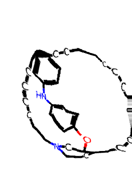 c1ccc(Nc2ccc(OC3CN4CCCCCCCCCCCCCCCCCCCCCC3CC4)cc2)cc1